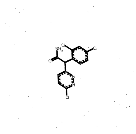 NC(=O)C(c1ccc(Cl)nn1)c1ccc(Cl)cc1Cl